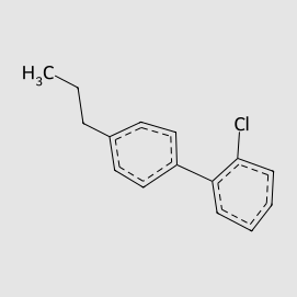 CCCc1ccc(-c2ccccc2Cl)cc1